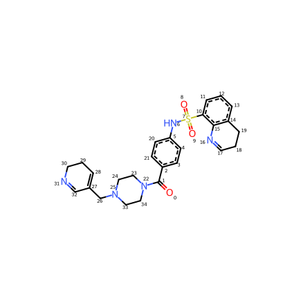 O=C(c1ccc(NS(=O)(=O)c2cccc3c2N=CCC3)cc1)N1CCN(CC2=CCCN=C2)CC1